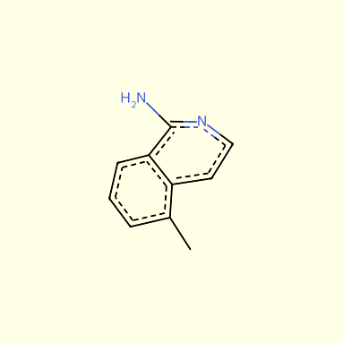 Cc1cccc2c(N)nccc12